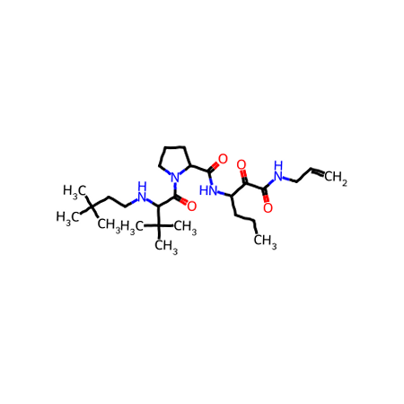 C=CCNC(=O)C(=O)C(CCC)NC(=O)C1CCCN1C(=O)C(NCCC(C)(C)C)C(C)(C)C